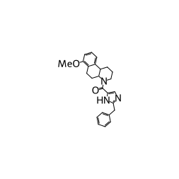 COc1cccc2c1CCC1C2CCCN1C(=O)c1cnc(Cc2ccccc2)[nH]1